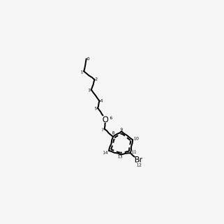 CCCCCCOCc1ccc(Br)cc1